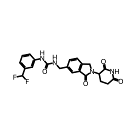 O=C1CCC(N2Cc3ccc(CNC(=O)Nc4cccc(C(F)F)c4)cc3C2=O)C(=O)N1